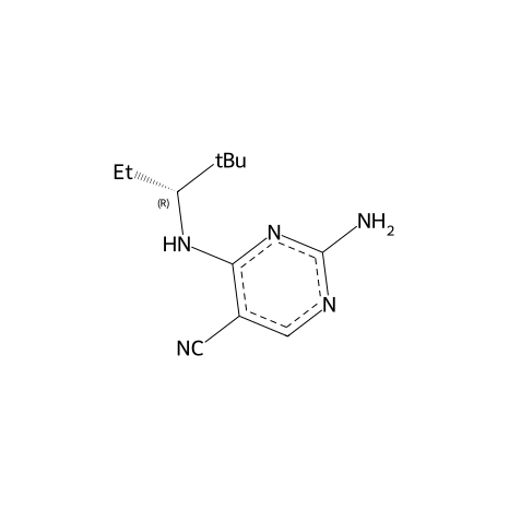 CC[C@@H](Nc1nc(N)ncc1C#N)C(C)(C)C